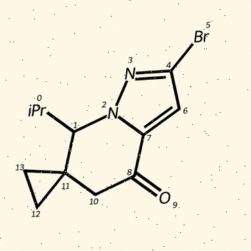 CC(C)C1n2nc(Br)cc2C(=O)CC12CC2